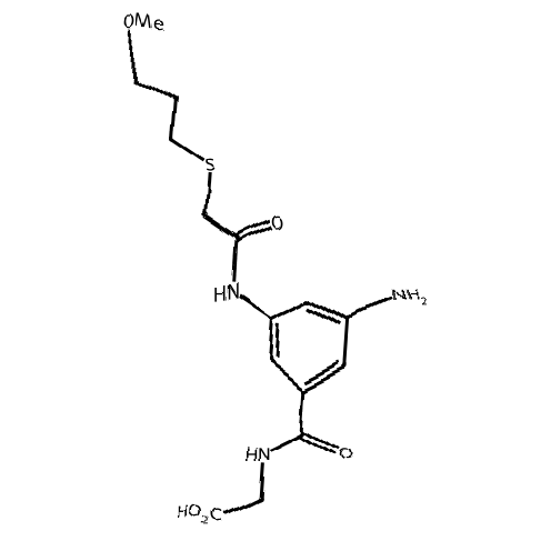 COCCCSCC(=O)Nc1cc(N)cc(C(=O)NCC(=O)O)c1